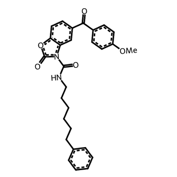 COc1ccc(C(=O)c2ccc3oc(=O)n(C(=O)NCCCCCCc4ccccc4)c3c2)cc1